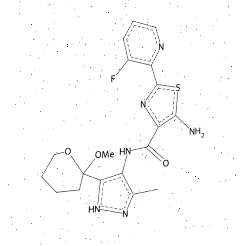 COC1(c2[nH]nc(C)c2NC(=O)c2nc(-c3ncccc3F)sc2N)CCCCO1